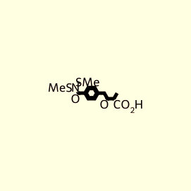 CSN(SC)C(=O)c1ccc(CC(=O)C(C)C(=O)O)cc1